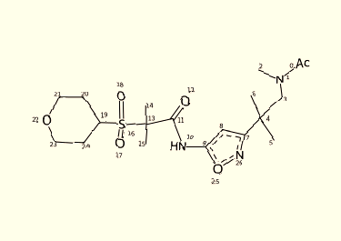 CC(=O)N(C)CC(C)(C)c1cc(NC(=O)C(C)(C)S(=O)(=O)C2CCOCC2)on1